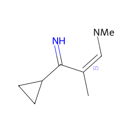 CN/C=C(/C)C(=N)C1CC1